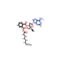 C#C[C@]1(CO)O[C@@H](N2C=NC3C(N)=NC(F)=NC32)C[C@@H]1OC(=O)c1ccccc1COC(=O)CCCCCCCCCCCCCCC